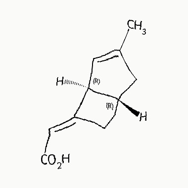 CC1=C[C@@H]2C(=CC(=O)O)C[C@H]2C1